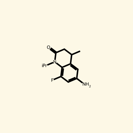 CC1CC(=O)N(C(C)C)c2c(F)cc(N)cc21